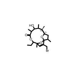 CCC1OC(=O)C(C)C(O)C(C)[C@@H](C)[C@]2(C)CC(C)C3(OC1(C)C=C3CBr)O2